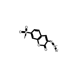 [N-]=[N+]=Nc1cc2ccc(S(=O)(=O)F)cc2oc1=O